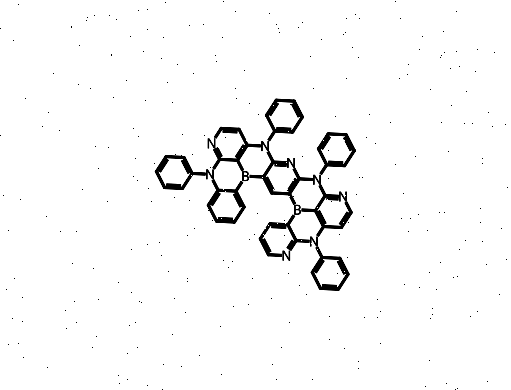 c1ccc(N2c3ccnc4c3B(c3ccccc3N4c3ccccc3)c3cc4c(nc32)N(c2ccccc2)c2nccc3c2B4c2cccnc2N3c2ccccc2)cc1